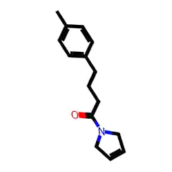 Cc1ccc(CCCC(=O)N2CC=CC2)cc1